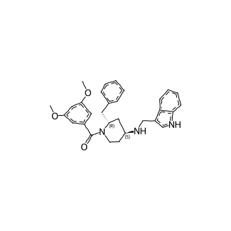 COc1cc(OC)cc(C(=O)N2CC[C@H](NCc3c[nH]c4ccccc34)C[C@H]2Cc2ccccc2)c1